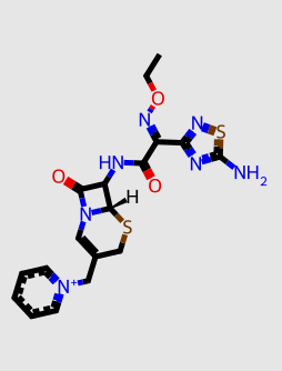 CCON=C(C(=O)NC1C(=O)N2C=C(C[n+]3ccccc3)CS[C@@H]12)c1nsc(N)n1